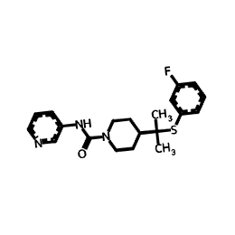 CC(C)(Sc1cccc(F)c1)C1CCN(C(=O)Nc2cccnc2)CC1